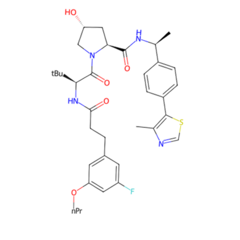 CCCOc1cc(F)cc(CCC(=O)N[C@H](C(=O)N2C[C@H](O)C[C@H]2C(=O)N[C@@H](C)c2ccc(-c3scnc3C)cc2)C(C)(C)C)c1